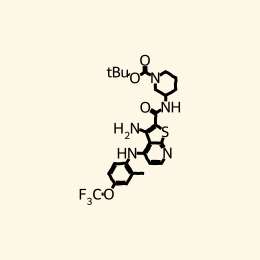 Cc1cc(OC(F)(F)F)ccc1Nc1ccnc2sc(C(=O)NC3CCCN(C(=O)OC(C)(C)C)C3)c(N)c12